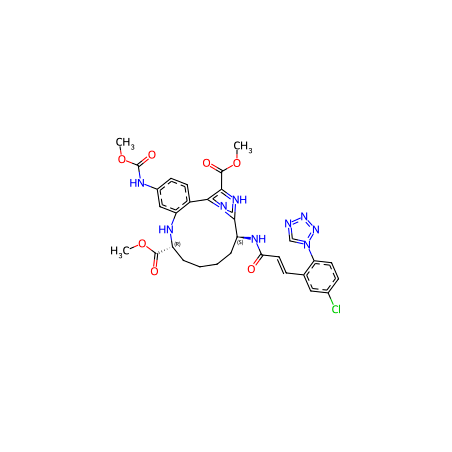 COC(=O)Nc1ccc2c(c1)N[C@@H](C(=O)OC)CCCC[C@H](NC(=O)C=Cc1cc(Cl)ccc1-n1cnnn1)c1nc-2c(C(=O)OC)[nH]1